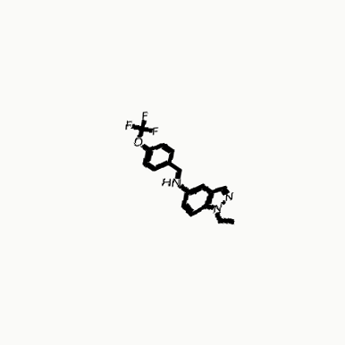 CCn1ncc2cc(NCc3ccc(OC(F)(F)F)cc3)ccc21